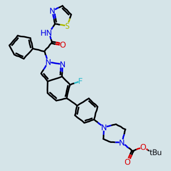 CC(C)(C)OC(=O)N1CCN(c2ccc(-c3ccc4cn(C(C(=O)Nc5nccs5)c5ccccc5)nc4c3F)cc2)CC1